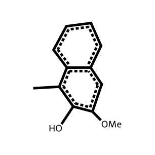 COc1cc2ccccc2c(C)c1O